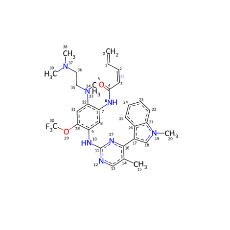 C=C/C=C\C(=O)Nc1cc(Nc2ncc(C)c(-c3cn(C)c4ccccc34)n2)c(OC(F)(F)F)cc1N(C)CCN(C)C